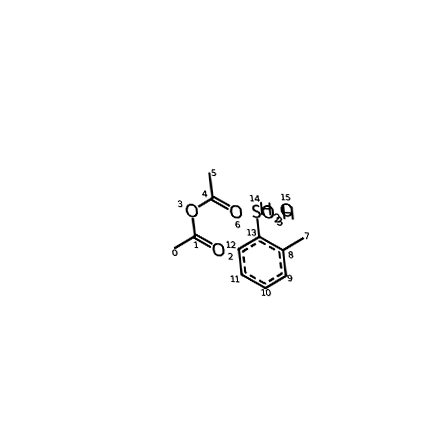 CC(=O)OC(C)=O.Cc1ccccc1S(=O)(=O)O.O